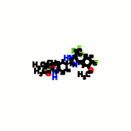 COc1cc(-c2nc([C@H]3CC[C@H](NS(=O)(=O)C(C)(C)C)CC3)[nH]c2C(F)(F)F)ccc1F